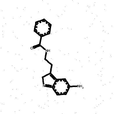 Nc1ccc2c(c1)=C(CCNC(=O)c1ccccc1)CN=2